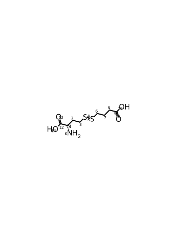 N[C@@H](CCSSCCCC(=O)O)C(=O)O